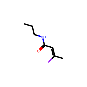 CCCNC(=O)C=C(C)I